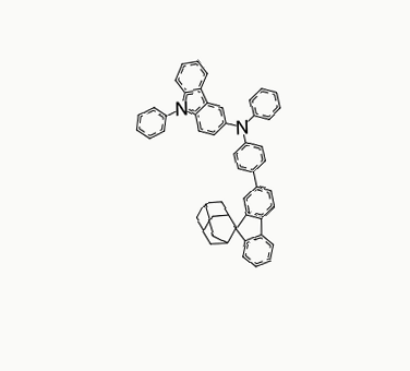 c1ccc(N(c2ccc(-c3ccc4c(c3)C3(c5ccccc5-4)C4CC5CC(C4)CC3C5)cc2)c2ccc3c(c2)c2ccccc2n3-c2ccccc2)cc1